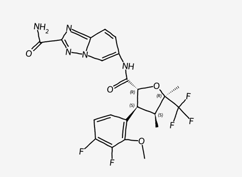 COc1c([C@H]2[C@H](C(=O)Nc3ccc4nc(C(N)=O)nn4c3)O[C@@](C)(C(F)(F)F)[C@H]2C)ccc(F)c1F